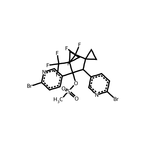 CS(=O)(=O)OC(c1ccc(Br)nc1)(C(c1ccc(Br)nc1)C1(C(F)(F)F)CC1)C1(C(F)(F)F)CC1